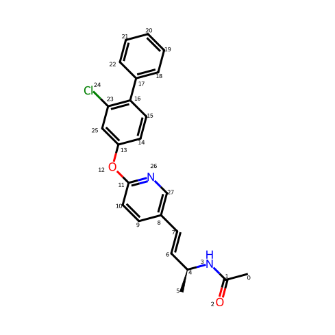 CC(=O)N[C@@H](C)/C=C/c1ccc(Oc2ccc(-c3ccccc3)c(Cl)c2)nc1